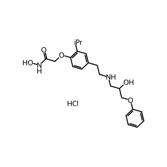 CC(C)c1cc(CCNCC(O)COc2ccccc2)ccc1OCC(=O)NO.Cl